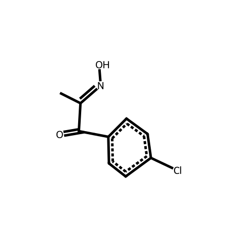 CC(=NO)C(=O)c1ccc(Cl)cc1